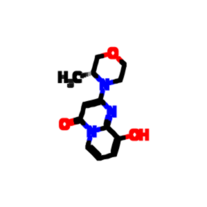 C[C@@H]1COCCN1c1cc(=O)n2cccc(O)c2n1